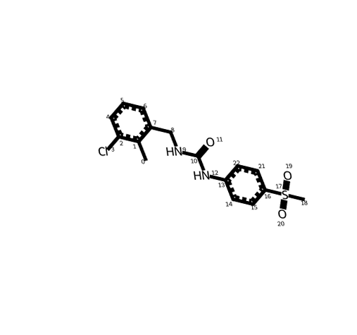 Cc1c(Cl)cccc1CNC(=O)Nc1ccc(S(C)(=O)=O)cc1